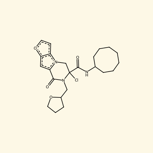 O=C1c2cc3occc3n2CC(Cl)(C(=O)NC2CCCCCCC2)N1CC1CCCO1